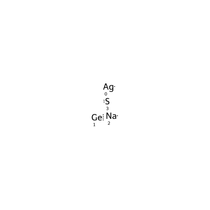 [Ag].[Ge].[Na].[S]